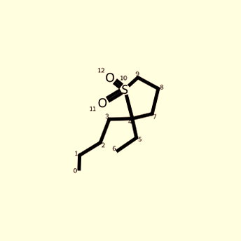 CCCCC1(CC)CCCS1(=O)=O